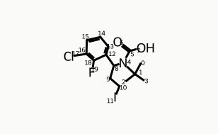 CC(C)(C)N(C(=O)O)C(CCI)c1cccc(Cl)c1F